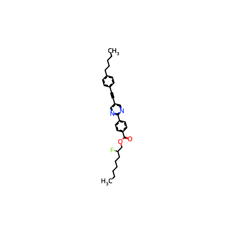 CCCCCCC(F)COC(=O)c1ccc(-c2ncc(C#Cc3ccc(CCCCC)cc3)cn2)cc1